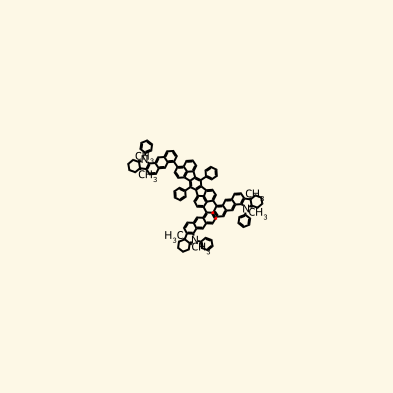 CC12CCCCC1(C)N(c1ccccc1)c1c2ccc2cc3c(-c4ccc5c6c(-c7ccccc7)c7c8ccc(-c9cccc%10cc%11c%12c(ccc%11cc9%10)C9(C)CCCCC9(C)N%12c9ccccc9)c9c(-c%10cccc%11cc%12c%13c(ccc%12cc%10%11)C%10(C)CCCCC%10(C)N%13c%10ccccc%10)ccc(c7c(-c7ccccc7)c6c6cccc4c65)c98)cccc3cc12